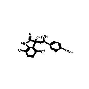 COc1ccc(C(O)CC2(O)C(=S)Nc3c(Cl)ccc(Cl)c32)cc1